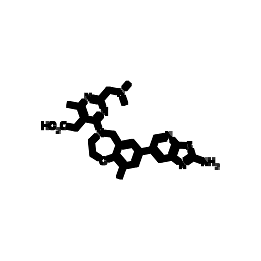 Cc1cc(-c2cnc3sc(N)nc3c2)cc2c1OCCN(c1nc(CN(C)C)nc(C)c1CC(=O)O)C2